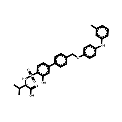 Cc1cccc(Nc2ccc(OCc3ccc(-c4ccc(S(=O)(=O)N[C@@H](C(=O)O)C(C)C)c(O)c4)cc3)cc2)c1